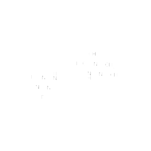 C=C(C)/N=C(\N=C(C)C)NCc1ccc(CNc2nc(F)nc(F)n2)cc1